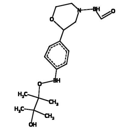 CC(C)(O)C(C)(C)OBc1ccc(C2CN(BC=O)CCO2)cc1